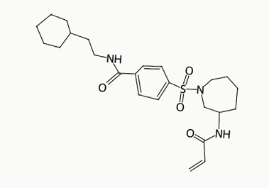 C=CC(=O)NC1CCCCN(S(=O)(=O)c2ccc(C(=O)NCCC3CCCCC3)cc2)C1